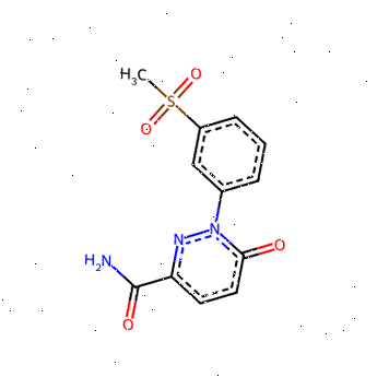 CS(=O)(=O)c1cccc(-n2nc(C(N)=O)ccc2=O)c1